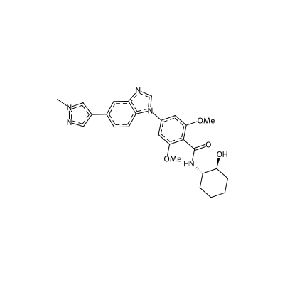 COc1cc(-n2cnc3cc(-c4cnn(C)c4)ccc32)cc(OC)c1C(=O)N[C@H]1CCCC[C@@H]1O